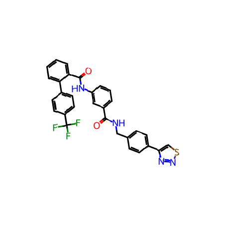 O=C(NCc1ccc(-c2csnn2)cc1)c1cccc(NC(=O)c2ccccc2-c2ccc(C(F)(F)F)cc2)c1